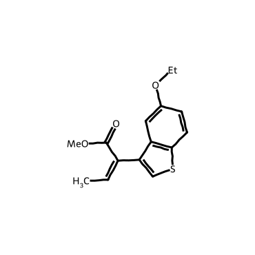 CC=C(C(=O)OC)c1csc2ccc(OCC)cc12